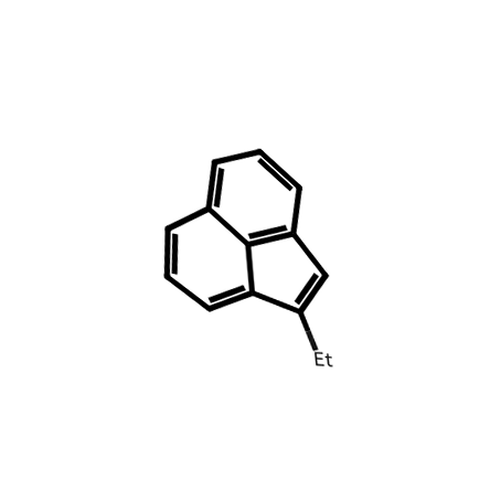 CCC1=Cc2cccc3cccc1c23